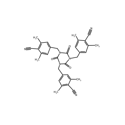 Cc1cc(Cn2c(=O)n(Cc3cc(C)c(C#N)c(C)c3)c(=O)n(Cc3cc(C)c(C#N)c(C)c3)c2=O)cc(C)c1C#N